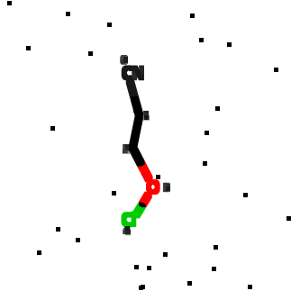 N#CCCOCl